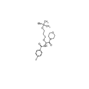 CC(C)(C)[Si](C)(C)OCCSO[C@H](NC(=O)c1ccc(F)cc1)C(=O)N1CCOCC1